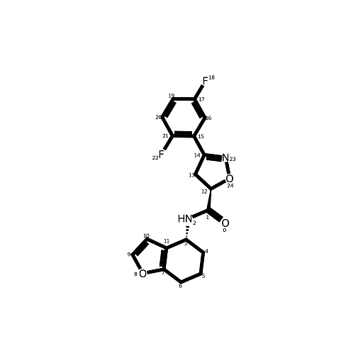 O=C(N[C@@H]1CCCc2occc21)[C@H]1CC(c2cc(F)ccc2F)=NO1